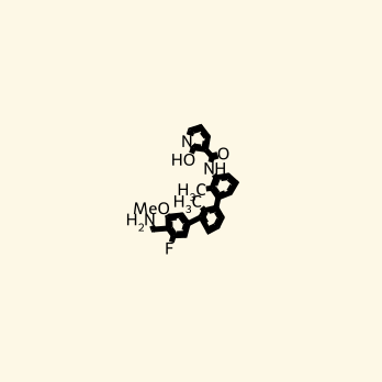 COc1cc(-c2cccc(-c3cccc(NC(=O)c4cccnc4O)c3C)c2C)cc(F)c1CN